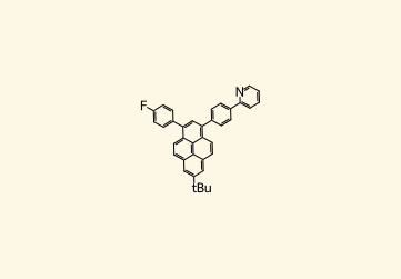 CC(C)(C)c1cc2ccc3c(-c4ccc(F)cc4)cc(-c4ccc(-c5ccccn5)cc4)c4ccc(c1)c2c34